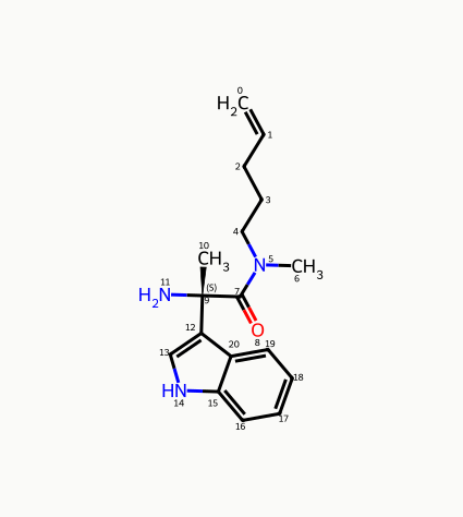 C=CCCCN(C)C(=O)[C@@](C)(N)c1c[nH]c2ccccc12